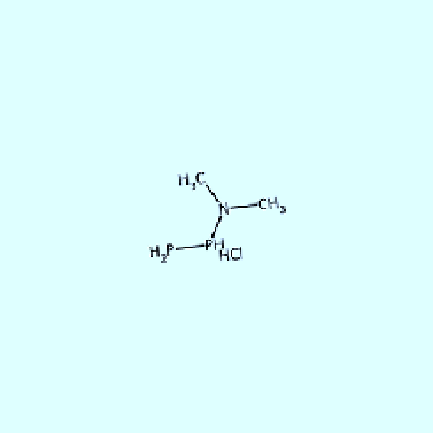 CN(C)PP.Cl